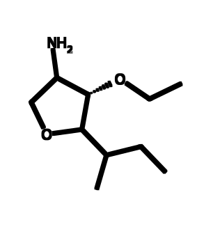 CCO[C@H]1C(N)COC1C(C)CC